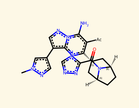 CC(=O)c1c([C@@H]2C[C@H]3CC[C@@H](C2)N3C(=O)c2nnc[nH]2)nc2c(-c3cnn(C)c3)cnn2c1N